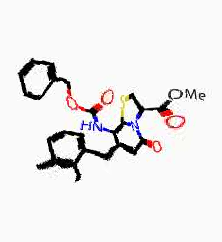 COC(=O)[C@@H]1CSc2c(NC(=O)OCc3ccccc3)c(Cc3cccc(C)c3C)cc(=O)n21